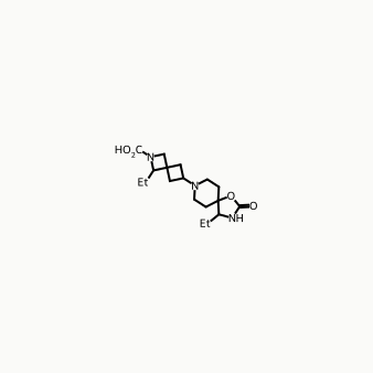 CCC1N(C(=O)O)CC12CC(N1CCC3(CC1)OC(=O)NC3CC)C2